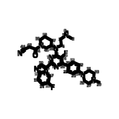 CN(C)CCN(c1nc(-c2cnc3ccc(F)cn23)nc(-c2ccc(N3CCN(C)CC3)cc2)c1F)[C@@H]1CCCN(C(=O)CC#N)C1